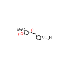 COc1cc(C(=O)C=Cc2cccc(C(=O)O)c2)ccc1O